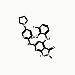 COc1c(F)cccc1Nc1cc(Nc2ccc(N3CCCC3)cn2)nc2[nH]n(C)c(=O)c12